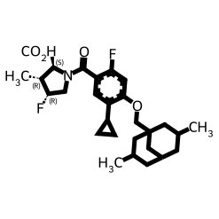 CC1CC2CC(C)CC(COc3cc(F)c(C(=O)N4C[C@H](F)[C@H](C)[C@H]4C(=O)O)cc3C3CC3)(C1)C2